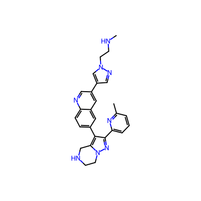 CNCCn1cc(-c2cnc3ccc(-c4c(-c5cccc(C)n5)nn5c4CNCC5)cc3c2)cn1